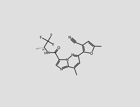 Cc1cc(C#N)c(-c2cc(C)c3ncc(C(=O)N[C@H](C)C(F)(F)F)n3n2)o1